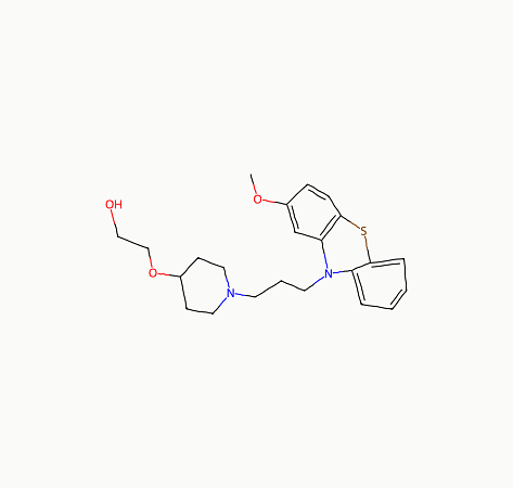 COc1ccc2c(c1)N(CCCN1CCC(OCCO)CC1)c1ccccc1S2